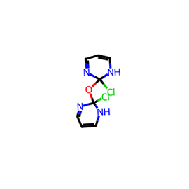 ClC1(OC2(Cl)N=CC=CN2)N=CC=CN1